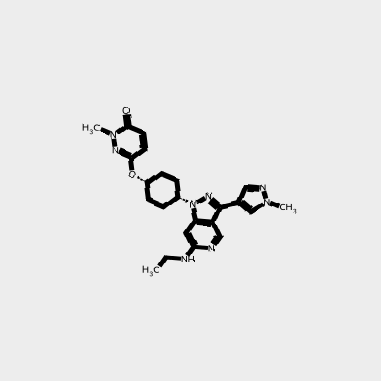 CCNc1cc2c(cn1)c(-c1cnn(C)c1)nn2[C@H]1CC[C@@H](Oc2ccc(=O)n(C)n2)CC1